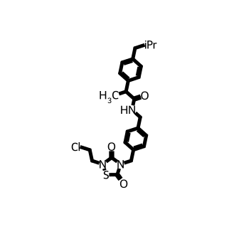 CC(C)Cc1ccc(C(C)C(=O)NCc2ccc(Cn3c(=O)sn(CCCl)c3=O)cc2)cc1